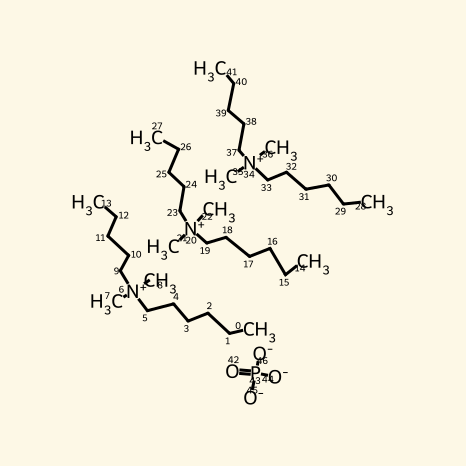 CCCCCC[N+](C)(C)CCCCC.CCCCCC[N+](C)(C)CCCCC.CCCCCC[N+](C)(C)CCCCC.O=P([O-])([O-])[O-]